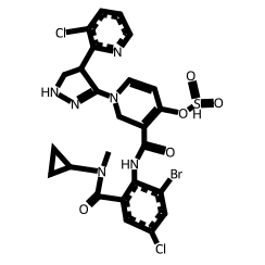 CN(C(=O)c1cc(Cl)cc(Br)c1NC(=O)C1=C(O[SH](=O)=O)C=CN(C2=NNCC2c2ncccc2Cl)C1)C1CC1